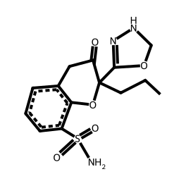 CCCC1(C2=NNCO2)Oc2c(cccc2S(N)(=O)=O)CC1=O